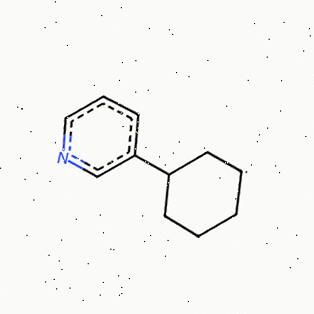 [CH]1CCCC(c2cccnc2)C1